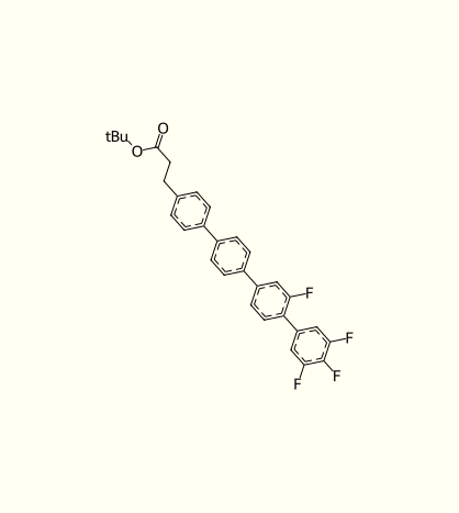 CC(C)(C)OC(=O)CCc1ccc(-c2ccc(-c3ccc(-c4cc(F)c(F)c(F)c4)c(F)c3)cc2)cc1